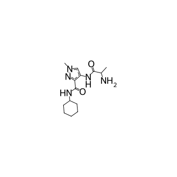 CC(N)C(=O)Nc1cn(C)nc1C(=O)NC1CCCCC1